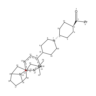 CC(C)C(=O)[C@H]1CC[C@H](N2CCC(c3cnc(N4C5CCC4CN(C[SH](C)C)C5)nc3)CC2)CC1